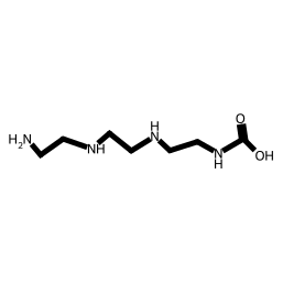 NCCNCCNCCNC(=O)O